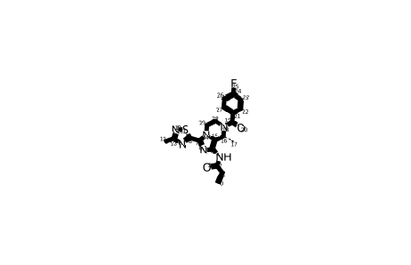 C=CC(=O)Nc1nc(-c2nc(C)ns2)n2c1[C@@H](C)N(C(=O)c1ccc(F)cc1)CC2